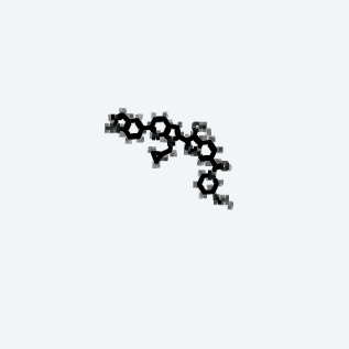 Cc1c(-c2cc3ccc(-c4ccc5[nH]ncc5c4)nc3n2CC2CC2)nn2cc(C(=O)N3CCC[C@@H](N)C3)ccc12